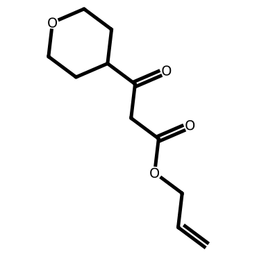 C=CCOC(=O)CC(=O)C1CCOCC1